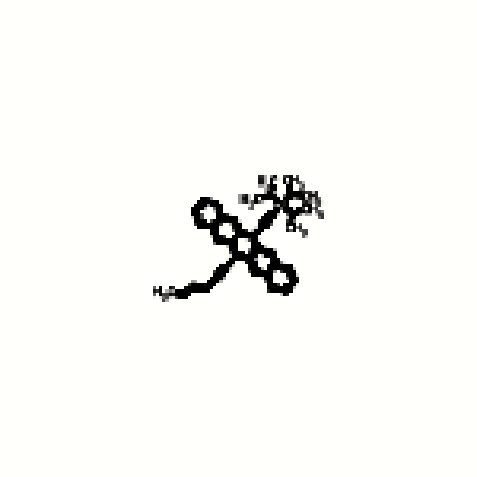 C=C/C=C/C#Cc1c2cc3ccccc3cc2c(C#CS(C(C)C)(C(C)C)C(C)C)c2cc3ccccc3cc12